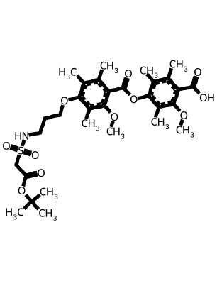 COc1c(C)c(OC(=O)c2c(C)c(C)c(OCCCNS(=O)(=O)CC(=O)OC(C)(C)C)c(C)c2OC)c(C)c(C)c1C(=O)O